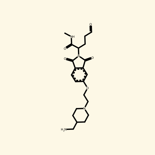 CNC(=O)C(CCC=O)N1C(=O)c2ccc(OCCN3CCC(CN)CC3)cc2C1=O